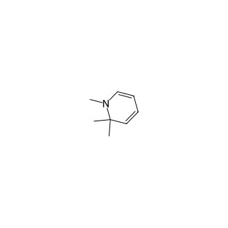 CN1C=CC=CC1(C)C